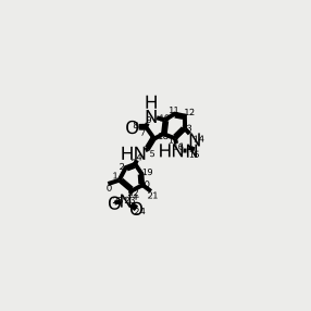 Cc1cc(NC=C2C(=O)Nc3ccc4nn[nH]c4c32)cc(C)c1[N+](=O)[O-]